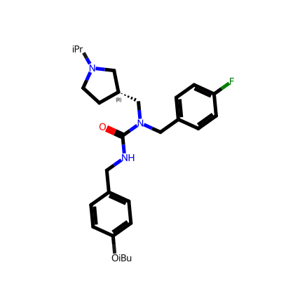 CC(C)COc1ccc(CNC(=O)N(Cc2ccc(F)cc2)C[C@@H]2CCN(C(C)C)C2)cc1